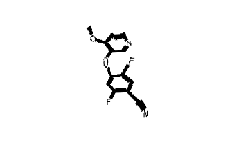 COc1ccncc1Oc1cc(F)c(C#N)cc1F